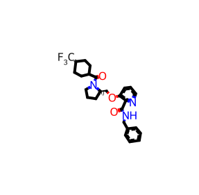 O=C(NCc1ccccc1)c1ncccc1OC[C@H]1CCCN1C(=O)C1CCC(C(F)(F)F)CC1